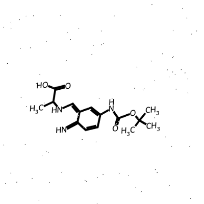 CC(N/C=C1/C=C(NC(=O)OC(C)(C)C)C=CC1=N)C(=O)O